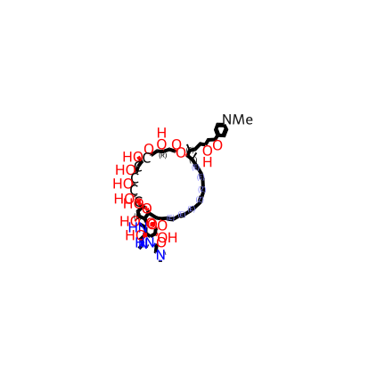 CNc1ccc(C(=O)CC(O)CC[C@H](C)C2OC(=O)C[C@H](O)CC(=O)CC(O)CC(O)CC(O)CC(O)CC3(O)C[C@H](O)C(C(=O)NCCN(C)C)C(CC(OC4OC(C)C(O)C(NC(=O)CN(C)C)C4O)/C=C/C=C/C=C/C=C\C=C/C=C/C=C/[C@@H]2C)O3)cc1